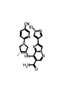 CCn1cc(-c2cn3ncc(C(N)=O)c(N[C@@H]4CN(c5ccc(C#N)cn5)C[C@H]4C)c3n2)cn1